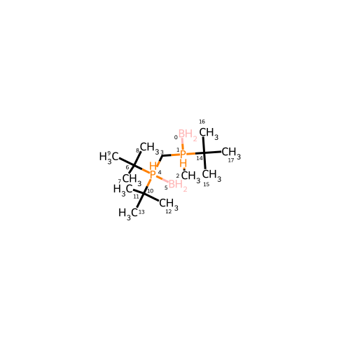 B[PH](C)(C[PH](B)(C(C)(C)C)C(C)(C)C)C(C)(C)C